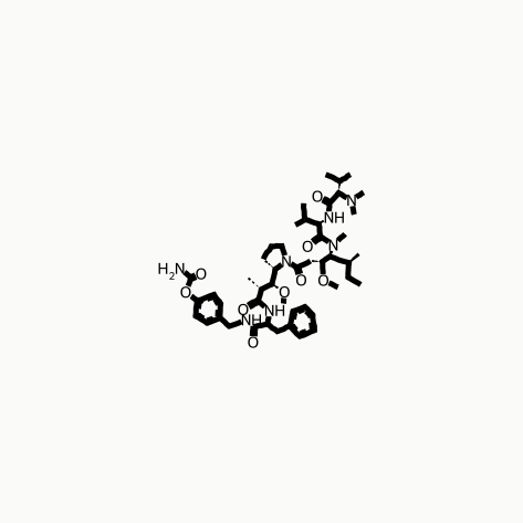 CC[C@H](C)[C@@H]([C@@H](CC(=O)N1CCC[C@H]1[C@H](OC)[C@@H](C)C(=O)NC(Cc1ccccc1)C(=O)NCc1ccc(OC(N)=O)cc1)OC)N(C)C(=O)[C@@H](NC(=O)[C@H](C(C)C)N(C)C)C(C)C